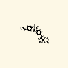 CCC(C)(C)C(=O)Nc1ccc(S(=O)(=O)Nc2ccc(CN)cc2)cc1